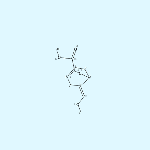 COC=C1CN2CCC1CC2C(=O)OC